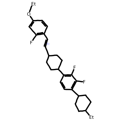 CCOc1ccc(/C=C/C2CCC(c3ccc(C4CCC(CC)CC4)c(F)c3F)CC2)c(F)c1